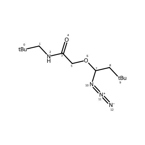 CC(C)(C)CNC(=O)COC(CC(C)(C)C)N=[N+]=[N-]